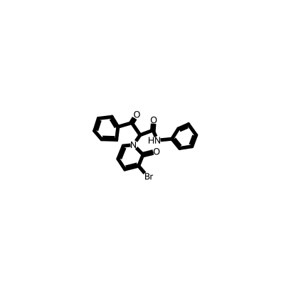 O=C(Nc1ccccc1)C(C(=O)c1ccccc1)n1cccc(Br)c1=O